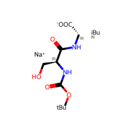 CC[C@H](C)[C@H](NC(=O)[C@H](CO)NC(=O)OC(C)(C)C)C(=O)[O-].[Na+]